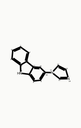 c1ccc2c(c1)[nH]c1ccc(-n3ccnc3)cc12